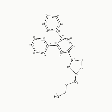 OCCOC1CCN(c2cnc(-c3ccccc3)c(-c3ccccc3)n2)C1